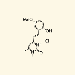 COc1ccc(O)c(C=Cc2cc(C)n(C)c(=O)[n+]2C)c1.[Cl-]